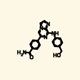 NC(=O)c1ccc(-c2cn3ccnc3c(Nc3ccc(CO)cc3)n2)cc1